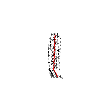 CC(C)=CCC/C(C)=C/CC/C(C)=C/CC/C(C)=C/CC/C(C)=C\CC/C(C)=C\CC/C(C)=C\CC/C(C)=C\CC/C(C)=C\CC/C(C)=C\CC/C(C)=C\CC/C(C)=C\CC/C(C)=C\CC/C(C)=C\CC/C(C)=C\CC/C(C)=C\CC/C(C)=C\CC/C(C)=C\CC/C(C)=C\CC/C(C)=C\CC/C(C)=C\CC/C(C)=C\CC/C(C)=C\CC/C(C)=C\COPP